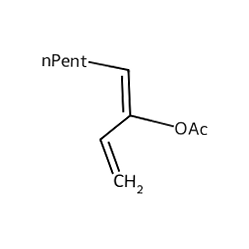 C=CC(=CCCCCC)OC(C)=O